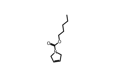 CCCCCOC(=O)N1CC=CC1